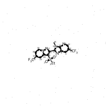 CCS(=O)(=O)c1c(-c2nc3cc(C(F)(F)F)cnc3n2C)nn2ccc(C(F)(F)F)cc12